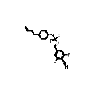 C=CCC[C@H]1CC[C@H](CC(F)(F)OCc2cc(F)c(C#N)c(F)c2)CC1